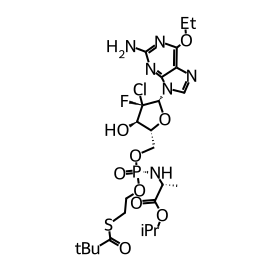 CCOc1nc(N)nc2c1ncn2[C@@H]1O[C@H](CO[P@@](=O)(N[C@H](C)C(=O)OC(C)C)OCCSC(=O)C(C)(C)C)[C@@H](O)[C@]1(F)Cl